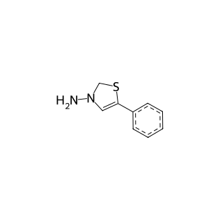 NN1C=C(c2ccccc2)SC1